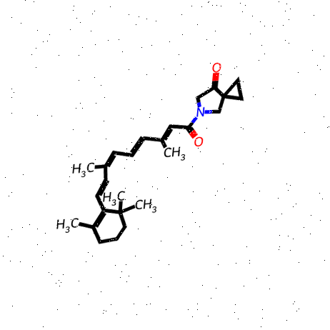 CC1=C(/C=C/C(C)=C\C=C\C(C)=C\C(=O)N2CC(=O)C3(CC3)C2)C(C)(C)CCC1